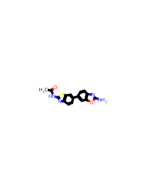 CC(=O)Nc1nc2ccc(-c3ccc4nc(N)oc4c3)cc2s1